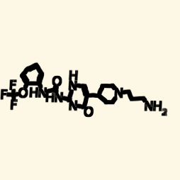 NCCCN1CCC(c2c[nH]c(NC(=O)Nc3ccccc3OC(F)(F)F)nc2=O)CC1